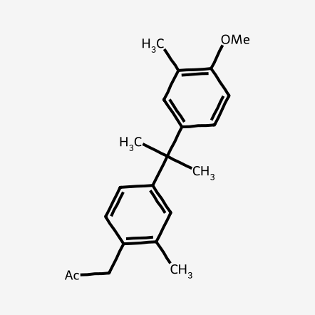 COc1ccc(C(C)(C)c2ccc(CC(C)=O)c(C)c2)cc1C